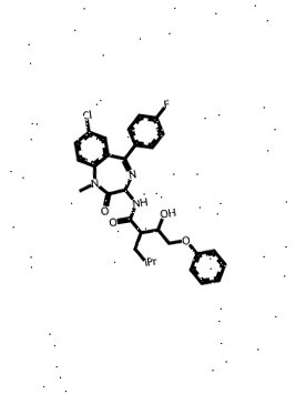 CC(C)CC(C(=O)NC1N=C(c2ccc(F)cc2)c2cc(Cl)ccc2N(C)C1=O)C(O)COc1ccccc1